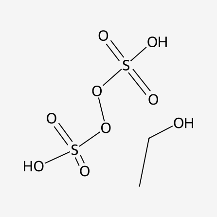 CCO.O=S(=O)(O)OOS(=O)(=O)O